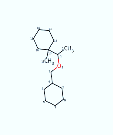 CC(OCC1CCCCC1)C1(C)CCCCC1